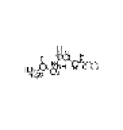 CS(=O)(=O)C(N)c1cc(F)cc(-c2ccnc3[nH]c(-c4n[nH]c5ncc(-c6cncc(NC(=O)CC7CCCCC7)c6)cc45)nc23)c1